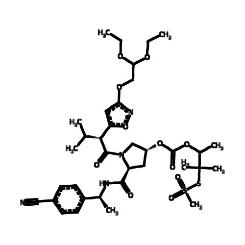 CCOC(COc1cc([C@H](C(=O)N2C[C@H](OC(=O)OC(C)C(C)(C)SS(C)(=O)=O)C[C@H]2C(=O)N[C@@H](C)c2ccc(C#N)cc2)C(C)C)on1)OCC